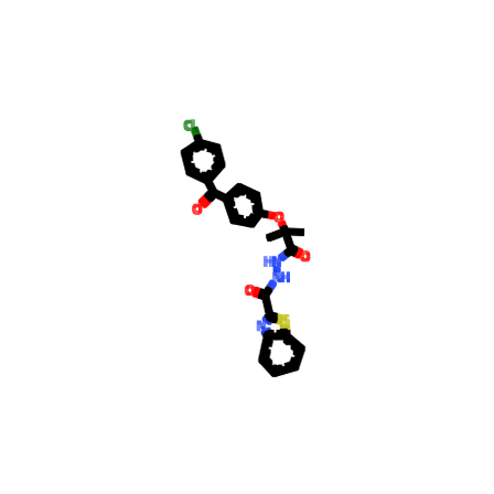 CC(C)(Oc1ccc(C(=O)c2ccc(Cl)cc2)cc1)C(=O)NNC(=O)c1nc2ccccc2s1